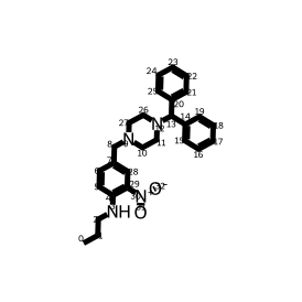 CCCNc1ccc(CN2CCN(C(c3ccccc3)c3ccccc3)CC2)cc1[N+](=O)[O-]